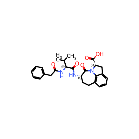 CC(C)[C@H](NC(=O)Cc1ccccc1)C(=O)N[C@H]1CCc2cccc3c2N(C1=O)[C@H](C(=O)O)C3